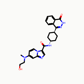 CN(CCO)c1ccn2c(C(=O)N[C@H]3CC[C@H](c4n[nH]c(=O)c5ccccc54)CC3)cnc2c1